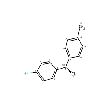 C[C@@H](c1ccc(F)cc1)c1ccc(C(F)(F)F)cc1